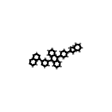 c1cc(-c2cccc3ccccc23)cc(-c2c3ccccc3c(-c3ccc(-c4cc5ccccc5s4)cc3)c3ccccc23)c1